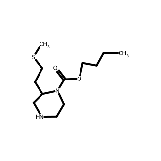 CCCCOC(=O)N1CCNCC1CCSC